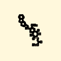 COC(=O)CC[C@H]1NC(=O)c2cc(OC)c(NCc3ccc4c(c3)-c3ccccc3C4)cc2NC1=O